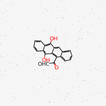 O=CC(=O)c1c2ccccc2cc2c(O)c3ccccc3c(O)c12